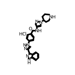 Cl.O=C(Nc1cnn(C2CCCNCC2)c1)c1ccc(-n2cc(-c3n[nH]c4ccccc34)nn2)cc1